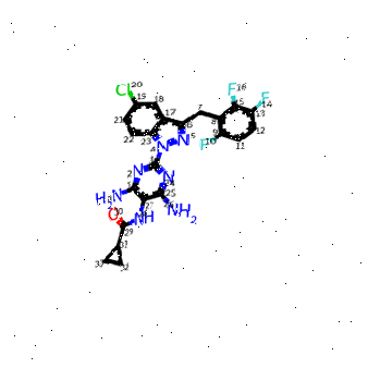 Nc1nc(-n2nc(Cc3c(F)ccc(F)c3F)c3cc(Cl)ccc32)nc(N)c1NC(=O)C1CC1